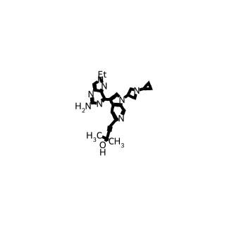 CCn1cc2nc(N)nc(-c3cn(C4CN(C5CC5)C4)c4cnc(C#CC(C)(C)O)cc34)c2n1